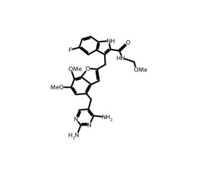 COCNC(=O)c1[nH]c2ccc(F)cc2c1Cc1cc2c(Cc3cnc(N)nc3N)cc(OC)c(OC)c2o1